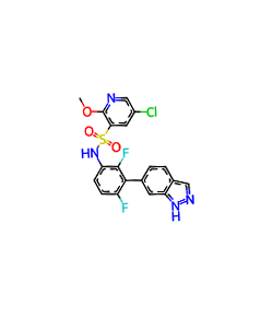 COc1ncc(Cl)cc1S(=O)(=O)Nc1ccc(F)c(-c2ccc3cn[nH]c3c2)c1F